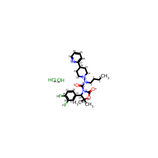 CCCCN(C(=O)N1C(=O)OC(C)(C)C1c1ccc(F)c(F)c1)N1CCC(c2ccccn2)CC1.Cl.Cl